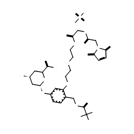 CC(C)(C)C(=O)OCc1ccc(O[C@@H]2OC(C(=O)O)[C@@H](O)[C@H](O)[C@H]2O)cc1OCCOCCNC(=O)[C@H](CS(=O)(=O)O)NC(=O)CN1C(=O)C=CC1=O